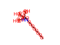 CCOCCOCCOCCOCCOCCOCCOCCOCCNC(=O)c1cc(OCCCS(=O)(=O)O)c(OCCCS(=O)(=O)O)c(OCCCS(=O)(=O)O)c1